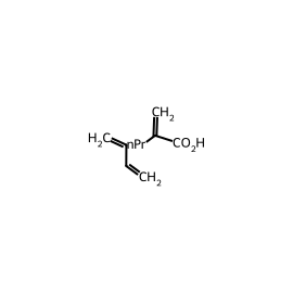 C=C(CCC)C(=O)O.C=CC=C